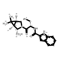 CC(C)C[C@H](NC(=O)c1cc2ccccc2[nH]1)C(=O)N1C[C@H]2[C@@H]([C@H]1C(=O)O)C2(C)C